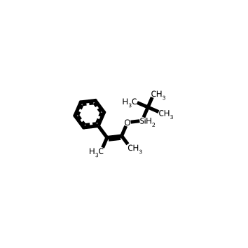 CC(O[SiH2]C(C)(C)C)=C(C)c1ccccc1